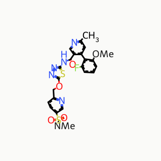 CNS(=O)(=O)c1ccc(COc2nnc(NC(=O)c3cnc(C)cc3-c3c(F)cccc3OC)s2)nc1